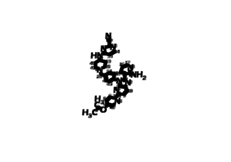 CC(C)Oc1ccc(-c2ccc3nc(-c4cccnc4N)n(-c4ccc(CN5CCC(Nc6ccnc(C#N)n6)CC5)cc4)c3n2)nc1